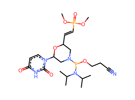 COP(=O)(/C=C/C1CN(P(OCCC#N)N(C(C)C)C(C)C)CC(n2ccc(=O)[nH]c2=O)O1)OC